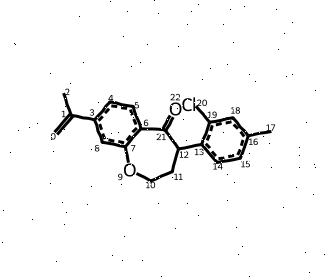 C=C(C)c1ccc2c(c1)OCCC(c1ccc(C)cc1Cl)C2=O